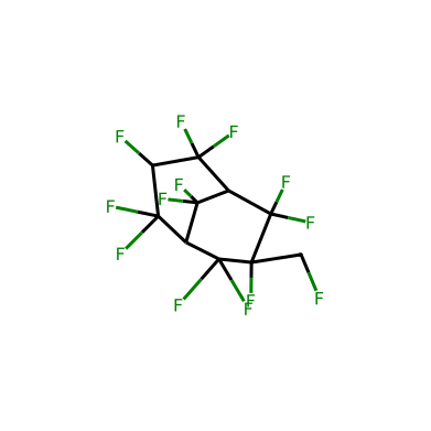 FCC1(F)C(F)(F)C2C(F)(F)C(F)C(F)(F)C(C2(F)F)C1(F)F